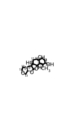 CC1=C2[C@@H]3OC(=O)C(CN4CCOCC4)[C@]3(O)CC[C@@]2(C)CCC1O